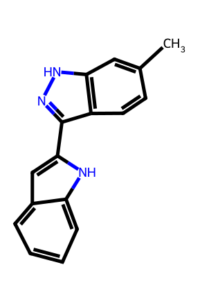 Cc1ccc2c(-c3cc4ccccc4[nH]3)n[nH]c2c1